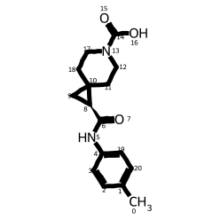 Cc1ccc(NC(=O)[C@H]2CC23CCN(C(=O)O)CC3)cc1